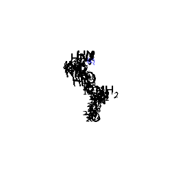 CN/C=C\C(=N)c1cc(C(=O)Nc2ccc(-c3cc(C4CCN(C(=O)C(C)C)CC4)n4ncnc(N)c34)cc2)c(=O)n(-c2cccnc2)c1C